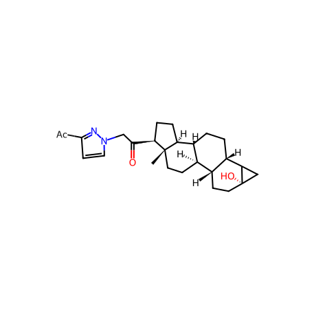 CC(=O)c1ccn(CC(=O)[C@H]2CC[C@H]3[C@@H]4CC[C@@H]5C6C[C@@]6(O)CC[C@@H]5[C@H]4CC[C@]23C)n1